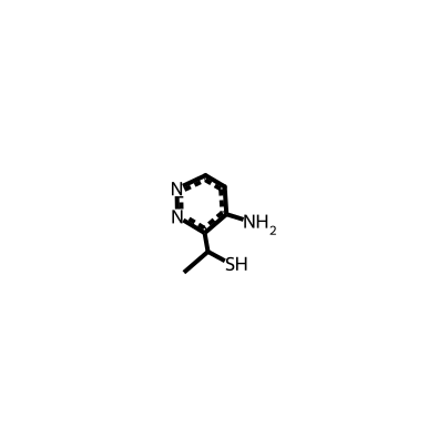 CC(S)c1nnccc1N